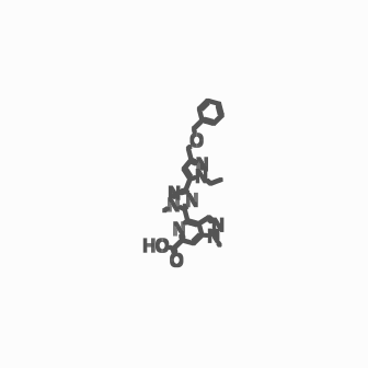 CCn1nc(COCc2ccccc2)cc1-c1nc(-c2nc(C(=O)O)cc3c2cnn3C)n(C)n1